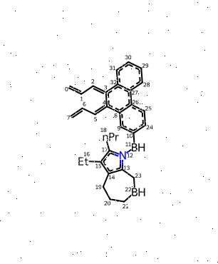 C=C/C=c1\c(=C/C=C)c2cc(Bn3c4c(c(CC)c3CCC)CCCBC4)ccc2c2ccccc12